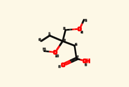 CCC(COC)(CC(=O)O)OC